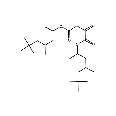 C=C(CC(=O)OC(C)CC(C)CC(C)(C)C)C(=O)OC(C)CC(C)CC(C)(C)C